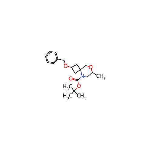 CC1CN(C(=O)OC(C)(C)C)C2(CO1)CC(OCc1ccccc1)C2